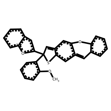 COc1ccccc1C1(c2cc3ccccc3o2)C=c2cc3c(cc2S1)=Cc1ccccc1O3